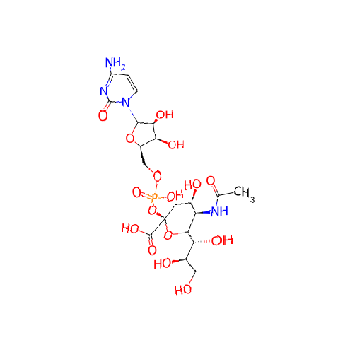 CC(=O)N[C@H]1C([C@H](O)[C@H](O)CO)O[C@](OP(=O)(O)OC[C@H]2OC(n3ccc(N)nc3=O)[C@@H](O)[C@H]2O)(C(=O)O)C[C@H]1O